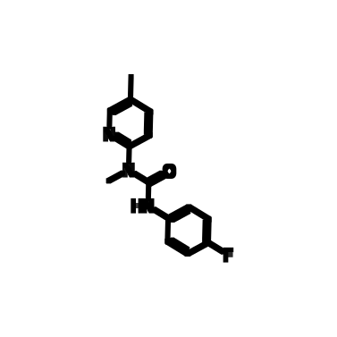 Cc1ccc(N(C)C(=O)Nc2ccc(F)cc2)nc1